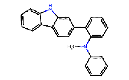 CN(c1ccccc1)c1ccccc1-c1ccc2c(c1)[nH]c1ccccc12